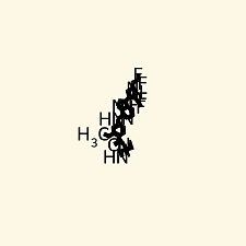 CCc1cc(Nc2nccn3c(-c4cn(CC(F)F)nc4C(F)(F)F)cnc23)ccc1C(=O)N1CCC12CNC2